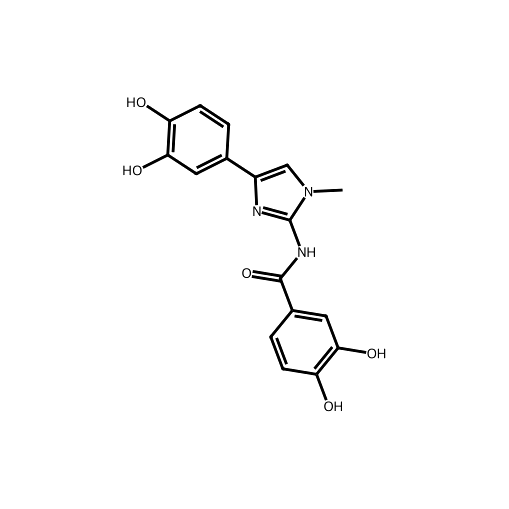 Cn1cc(-c2ccc(O)c(O)c2)nc1NC(=O)c1ccc(O)c(O)c1